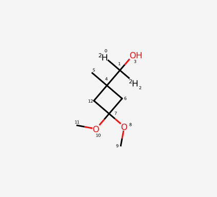 [2H]C([2H])(O)C1(C)CC(OC)(OC)C1